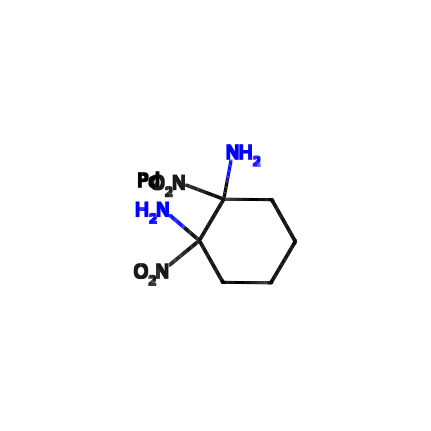 NC1([N+](=O)[O-])CCCCC1(N)[N+](=O)[O-].[Pd]